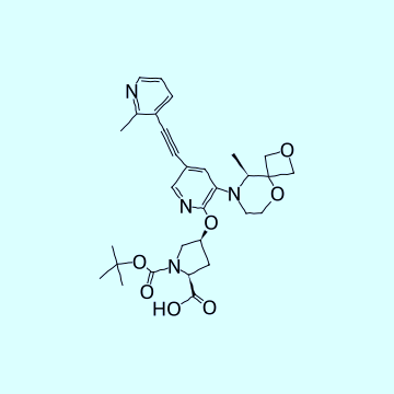 Cc1ncccc1C#Cc1cnc(O[C@H]2C[C@@H](C(=O)O)N(C(=O)OC(C)(C)C)C2)c(N2CCOC3(COC3)[C@@H]2C)c1